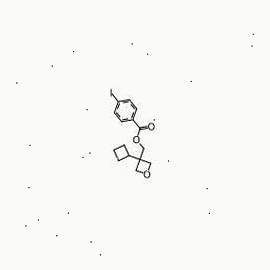 O=C(OCC1(C2CCC2)COC1)c1ccc(I)cc1